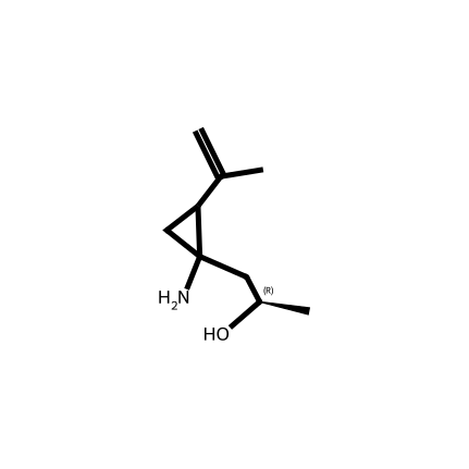 C=C(C)C1CC1(N)C[C@@H](C)O